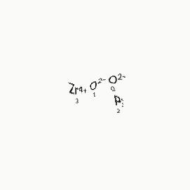 [O-2].[O-2].[P].[Zr+4]